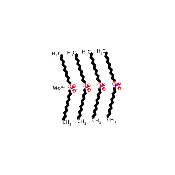 CCCCCCCCCCCCOP(=O)([O-])CCCCCCCCCCCC.CCCCCCCCCCCCOP(=O)([O-])CCCCCCCCCCCC.CCCCCCCCCCCCOP(=O)([O-])CCCCCCCCCCCC.CCCCCCCCCCCCOP(=O)([O-])CCCCCCCCCCCC.[Mo+4]